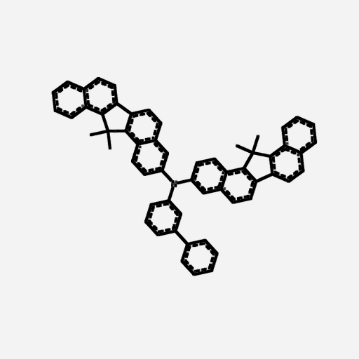 CC1(C)c2c(ccc3ccccc23)-c2ccc3cc(N(c4cccc(-c5ccccc5)c4)c4ccc5c6c(ccc5c4)-c4ccc5ccccc5c4C6(C)C)ccc3c21